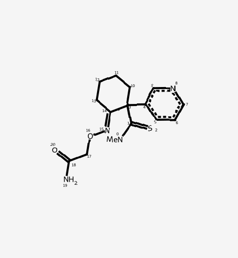 CNC(=S)C1(c2cccnc2)CCCCC1=NOCC(N)=O